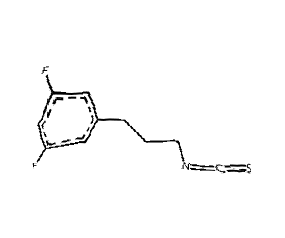 Fc1cc(F)cc(CCCN=C=S)c1